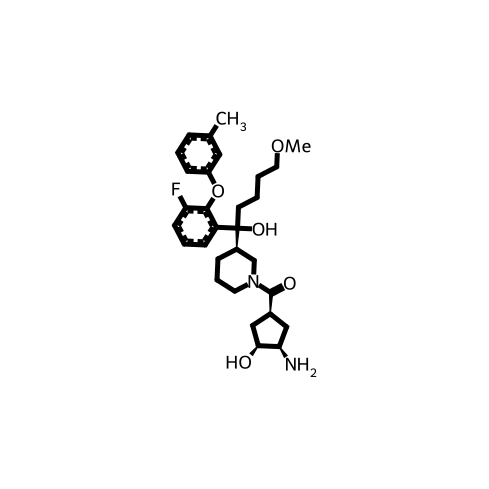 COCCCCC(O)(c1cccc(F)c1Oc1cccc(C)c1)[C@@H]1CCCN(C(=O)[C@H]2C[C@@H](N)[C@@H](O)C2)C1